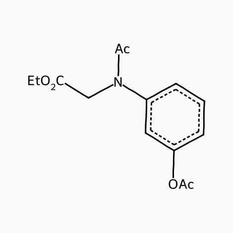 CCOC(=O)CN(C(C)=O)c1cccc(OC(C)=O)c1